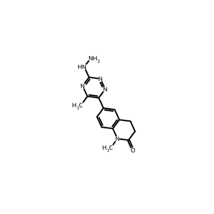 Cc1nc(NN)nnc1-c1ccc2c(c1)CCC(=O)N2C